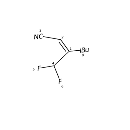 CCC(C)C(=CC#N)C(F)F